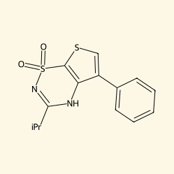 CC(C)C1=NS(=O)(=O)c2scc(-c3ccccc3)c2N1